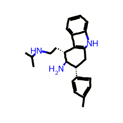 Cc1ccc([C@H]2Cc3[nH]c4ccccc4c3[C@@H](CCNC(C)C)[C@@H]2N)cc1